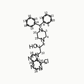 OC(CN1CCN(C(c2ccccc2)c2ccccc2)CC1)Cn1cnc2ncnc(Cl)c21